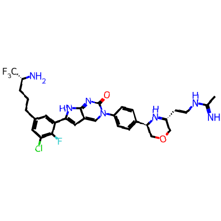 CC(=N)NCC[C@@H]1COC[C@@H](c2ccc(-n3cc4cc(-c5cc(CCC[C@@H](N)C(F)(F)F)cc(Cl)c5F)[nH]c4nc3=O)cc2)N1